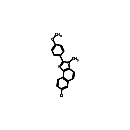 COc1ccc(-c2nc3c4ccc(Cl)cc4ccc3n2C)cc1